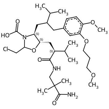 COCCCOc1cc(CC(C[C@H]2[C@H](C[C@H](C(=O)NCC(C)(C)C(N)=O)C(C)C)OC(CCl)N2C(=O)O)C(C)C)ccc1OC